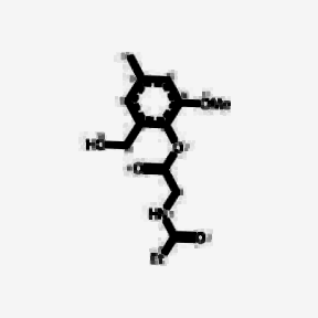 CCC(=O)NCC(=O)Oc1c(CO)cc(C)cc1OC